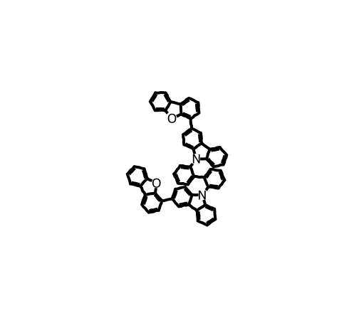 c1ccc(-n2c3ccccc3c3cc(-c4cccc5c4oc4ccccc45)ccc32)c(-c2ccccc2-n2c3ccccc3c3cc(-c4cccc5c4oc4ccccc45)ccc32)c1